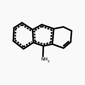 Nc1c2c(cc3ccccc13)CCC=C2